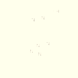 CCc1ccc2ccc3c(-c4cccc(-c5nc(-c6ccccc6)nc(-c6ccccn6)n5)c4)cc(-c4ccccc4)nc3c2n1